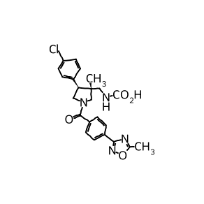 Cc1nc(-c2ccc(C(=O)N3C[C@@H](c4ccc(Cl)cc4)[C@](C)(CNC(=O)O)C3)cc2)no1